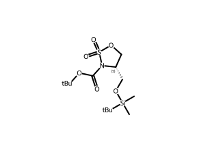 CC(C)(C)OC(=O)N1[C@@H](CO[Si](C)(C)C(C)(C)C)COS1(=O)=O